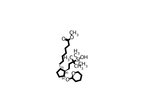 COC(=O)CCCCCC[C@H]1CC[C@@H](OC2CCCCO2)[C@@H]1CCC(C)(C)[Si](C)(C)O